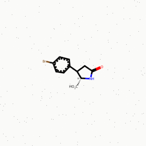 O=C1CC(c2ccc(Br)cc2)[C@@H](C(=O)O)N1